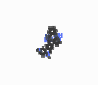 CN1CCC(N(C)Cc2ccc(-c3nnc4n3-c3cccnc3Nc3ccccc3-4)cc2)CC1